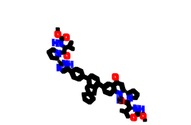 COC(=O)N[C@H](C(=O)N1CCC[C@H]1c1cc(=O)c2cc(-c3ccc(-c4ccc(-c5cnc([C@@H]6CCCN6C(=O)[C@@H](NC(=O)OC)C(C)C)[nH]5)cc4)c4c3CC3(CCCC3)C4)ccc2[nH]1)C(C)C